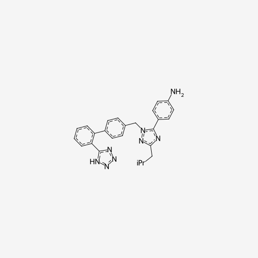 CC(C)Cc1nc(-c2ccc(N)cc2)n(Cc2ccc(-c3ccccc3-c3nnn[nH]3)cc2)n1